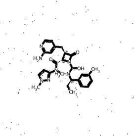 CC[C@@H](NC(O)N1C(=O)[C@H](Cc2ccnc(N)c2)[C@H]1C(=O)N(C)c1ccn(C)n1)c1cccc(C)c1